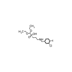 CCOC(OCC)P(=O)(O)CCCNCc1ccc(I)c(Cl)c1